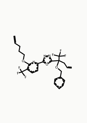 C=CCCCOc1nc(-c2nnc(C(CC=C)(OCc3ccccc3)C(F)(F)F)o2)ccc1C(F)(F)F